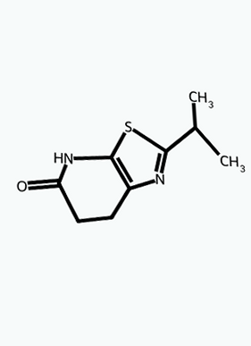 CC(C)c1nc2c(s1)NC(=O)CC2